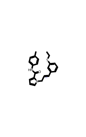 CCSc1cccc(/C=C/Cn2cccc2C(=O)Nc2ccc(C)cc2)c1